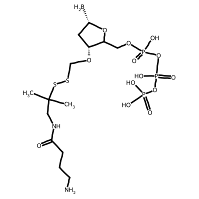 B[C@H]1C[C@@H](OCSSC(C)(C)CNC(=O)CCCN)C(COP(=O)(O)OP(=O)(O)OP(=O)(O)O)O1